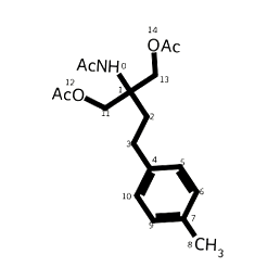 CC(=O)NC(CCc1ccc(C)cc1)(COC(C)=O)COC(C)=O